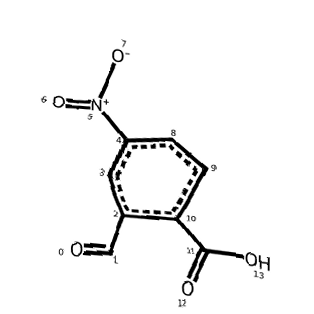 O=Cc1cc([N+](=O)[O-])ccc1C(=O)O